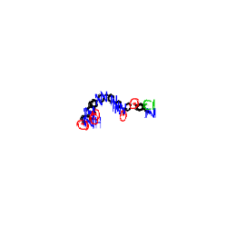 N#Cc1ccc(O[C@H]2CC[C@@]3(CC2)C(=O)N3c2ccc(N3CCC(CN4CCN(c5ccc6c(c5)C(=O)N(C5CCC(=O)NC5=O)C6)CC4)CC3)nn2)cc1Cl